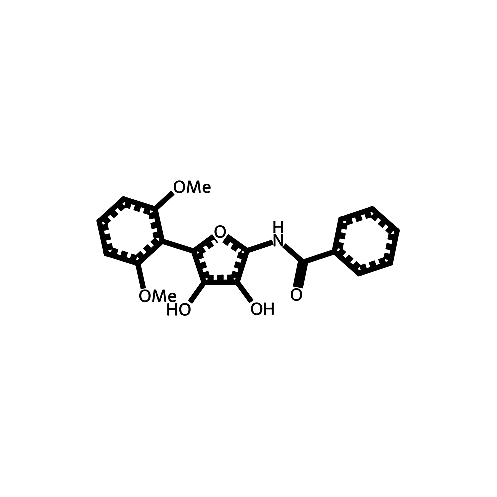 COc1cccc(OC)c1-c1oc(NC(=O)c2ccccc2)c(O)c1O